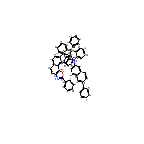 c1ccc(-c2ccc3cc(N(c4ccc5ccc6ccc7nc(-c8ccccc8)oc7c6c5c4)c4ccccc4[Si](c4ccccc4)(c4ccccc4)c4ccccc4)ccc3c2)cc1